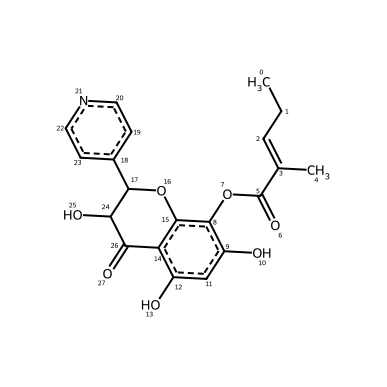 CCC=C(C)C(=O)Oc1c(O)cc(O)c2c1OC(c1ccncc1)C(O)C2=O